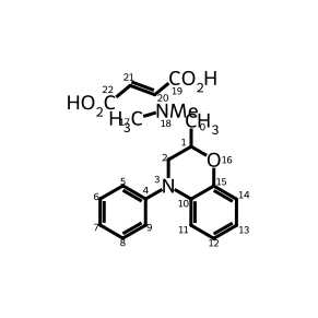 CC1CN(c2ccccc2)c2ccccc2O1.CNC.O=C(O)C=CC(=O)O